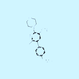 COc1ccc(-c2cc(C#N)c(N3CCOCC3)nc2C)cc1